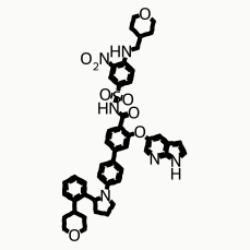 O=C(NS(=O)(=O)c1ccc(NCC2CCOCC2)c([N+](=O)[O-])c1)c1ccc(-c2ccc(N3CCCC3c3ccccc3C3CCOCC3)cc2)cc1Oc1cnc2[nH]ccc2c1